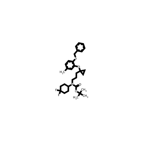 Cc1ccc(SCc2ccccc2)c(OC2(CCCN(C(=O)OC(C)(C)C)C3CCC(F)(F)CC3)CC2)c1